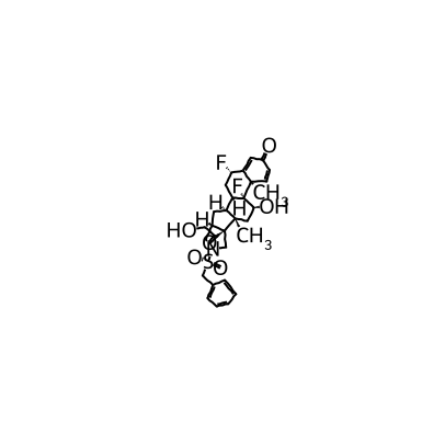 C[C@]12C=CC(=O)C=C1[C@@H](F)C[C@H]1[C@@H]3C[C@H]4CN(S(=O)(=O)Cc5ccccc5)C[C@@]4(C(=O)CO)[C@@]3(C)C[C@H](O)[C@@]12F